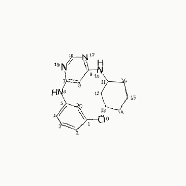 Clc1cccc(Nc2cc(NC3CCCCC3)ncn2)c1